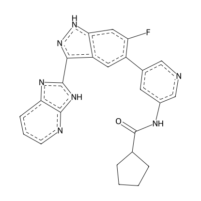 O=C(Nc1cncc(-c2cc3c(-c4nc5cccnc5[nH]4)n[nH]c3cc2F)c1)C1CCCC1